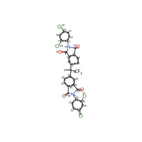 CC(c1ccc2c(c1)C(=O)N(c1ccc(Cl)cc1Cl)C2=O)(c1ccc2c(c1)C(=O)N(c1ccc(Cl)cc1Cl)C2=O)C(F)(F)F